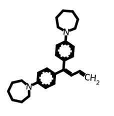 C=CC=C(c1ccc(N2CCCCCC2)cc1)c1ccc(N2CCCCCC2)cc1